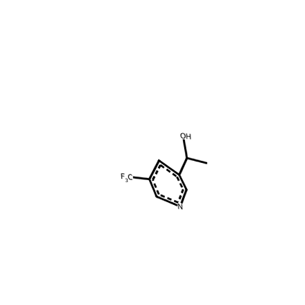 CC(O)c1cncc(C(F)(F)F)c1